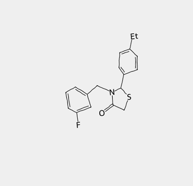 CCc1ccc(C2SCC(=O)N2Cc2cccc(F)c2)cc1